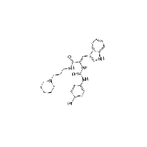 CC(C)c1ccc(NC(=O)NC(=Cc2c[nH]c3ccccc23)C(=O)NCCCN2CCCCC2)cc1